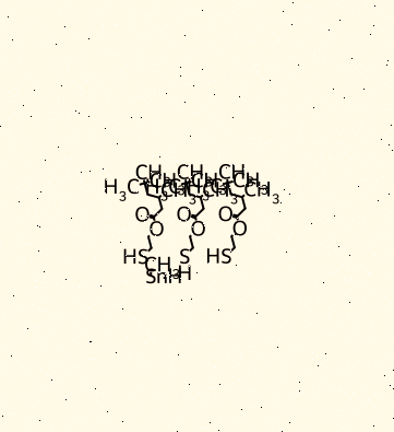 CC(CC(=O)OCCS)CC(C)(C)C.CC(CC(=O)OCCS)CC(C)(C)C.CC(CC(=O)OCCS)CC(C)(C)C.[CH3][SnH]